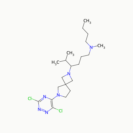 CCCCN(C)CCCC(C(C)C)N1CC2(CCN(c3nc(Cl)nnc3Cl)C2)C1